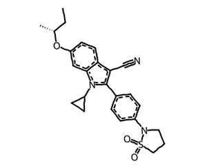 CC[C@@H](C)Oc1ccc2c(C#N)c(-c3ccc(N4CCCS4(=O)=O)cc3)n(C3CC3)c2c1